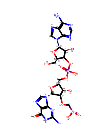 Nc1nc2c(ncn2[C@@H]2O[C@H](COP(=O)(O)OC3[C@@H](CO)O[C@@H](n4cnc5c(N)ncnc54)[C@H]3O)[C@H](O)C2OC[PH](=O)O)c(=O)[nH]1